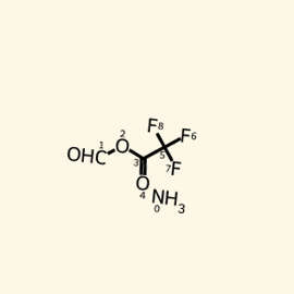 N.O=COC(=O)C(F)(F)F